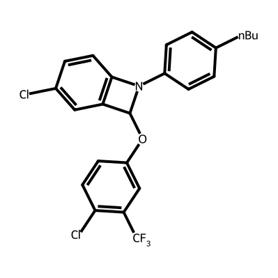 CCCCc1ccc(N2c3ccc(Cl)cc3C2Oc2ccc(Cl)c(C(F)(F)F)c2)cc1